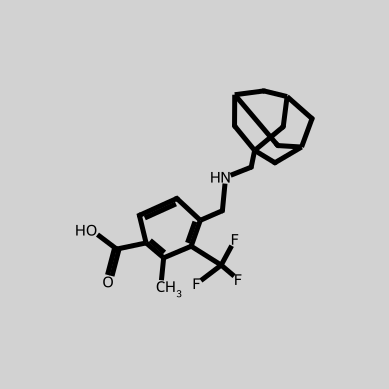 Cc1c(C(=O)O)ccc(CNCC23CC4CC(CC(C4)C2)C3)c1C(F)(F)F